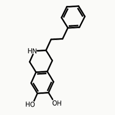 Oc1cc2c(cc1O)CC(CCc1ccccc1)NC2